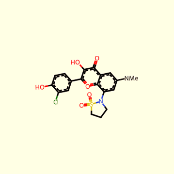 CNc1cc(N2CCCS2(=O)=O)c2oc(-c3ccc(O)c(Cl)c3)c(O)c(=O)c2c1